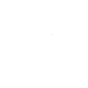 Nc1cccc2c1c1c(Cc3ccccc3)cccc1n2-c1ccccc1